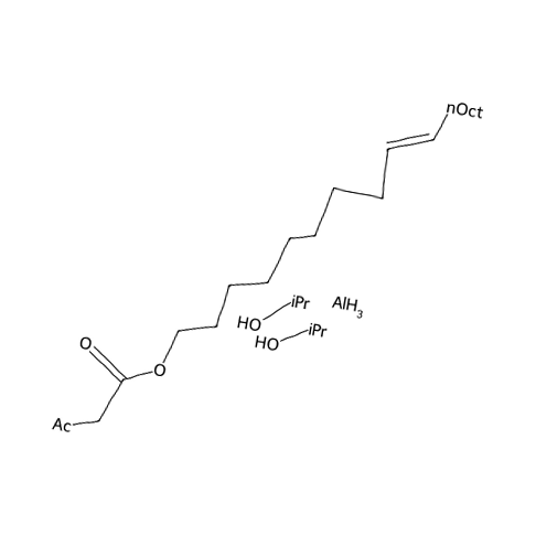 CC(C)O.CC(C)O.CCCCCCCCC=CCCCCCCCCOC(=O)CC(C)=O.[AlH3]